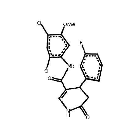 COc1cc(NC(=O)C2=CNC(=O)CC2c2cccc(F)c2)c(Cl)cc1Cl